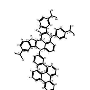 Cc1ccc(N2c3cccc4c3B(c3sc5ccc(C(C)C)cc5c3N4c3ccc(C(C)C)cc3)c3sc4ccc(C(C)C)cc4c32)cc1-c1cccc2c3ccccc3c3ccccc3c12